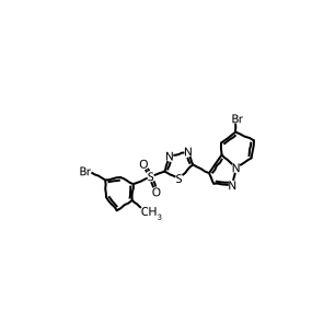 Cc1ccc(Br)cc1S(=O)(=O)c1nnc(-c2cnn3ccc(Br)cc23)s1